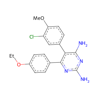 CCOc1ccc(-c2nc(N)nc(N)c2-c2ccc(OC)c(Cl)c2)cc1